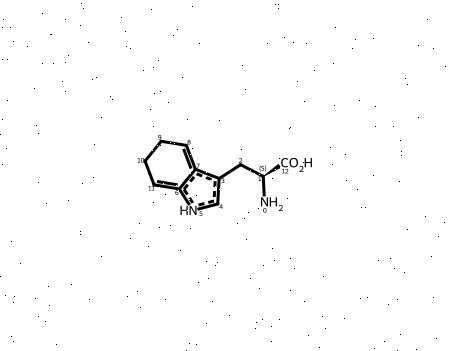 N[C@@H](Cc1c[nH]c2c1=CCCC=2)C(=O)O